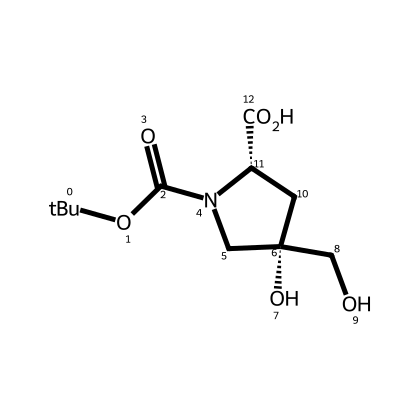 CC(C)(C)OC(=O)N1C[C@](O)(CO)C[C@H]1C(=O)O